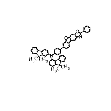 CC1(C)c2ccccc2-c2ccc(N(c3ccc(-c4ccc5c(c4)oc4cc6oc(-c7ccccc7)nc6cc45)cc3)c3cccc4c3-c3ccccc3C4(C)C)cc21